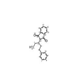 CCC(CCc1ccccc1)N1C(=O)c2ccccc2C1=O